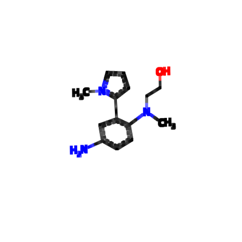 CN(CCO)c1ccc(N)cc1-c1cccn1C